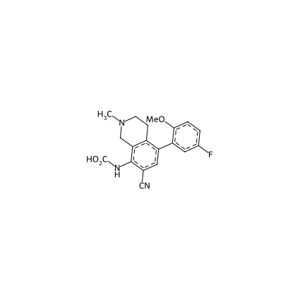 COc1ccc(F)cc1-c1cc(C#N)c(NC(=O)O)c2c1CCN(C)C2